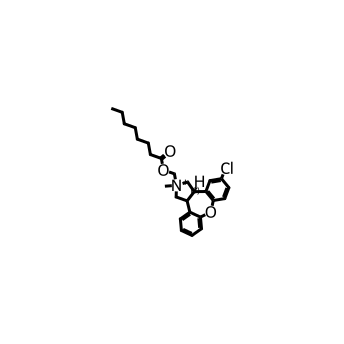 CCCCCCCC(=O)OC[N+]1(C)CC2c3ccccc3Oc3ccc(Cl)cc3[C@H]2C1